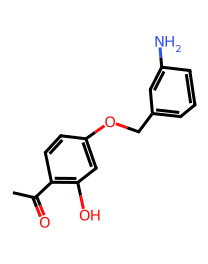 CC(=O)c1ccc(OCc2cccc(N)c2)cc1O